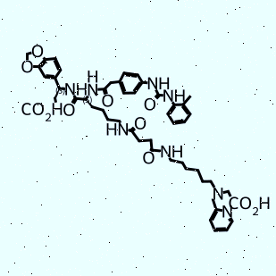 Cc1ccccc1NC(=O)Nc1ccc(CC(=O)N[C@@H](CCCCNC(=O)CCC(=O)NCCCCCCN(CC(=O)O)Cc2ccccn2)C(=O)N[C@@H](CC(=O)O)c2ccc3c(c2)OCO3)cc1